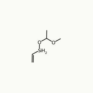 C=C[SiH2]OC(C)OC